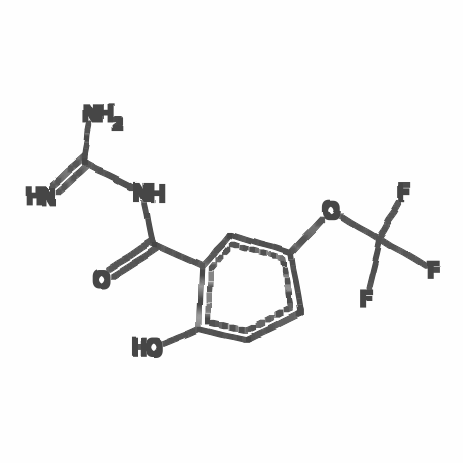 N=C(N)NC(=O)c1cc(OC(F)(F)F)ccc1O